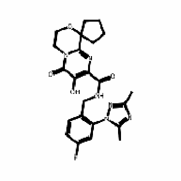 Cc1nc(C)n(-c2cc(F)ccc2CNC(=O)c2nc3n(c(=O)c2O)CCOC32CCCC2)n1